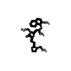 C=C(/C=c1\s/c(=C\C=C2/SCCN2CC)c(=O)n1CC)Sc1c(C)ccc2ccccc12